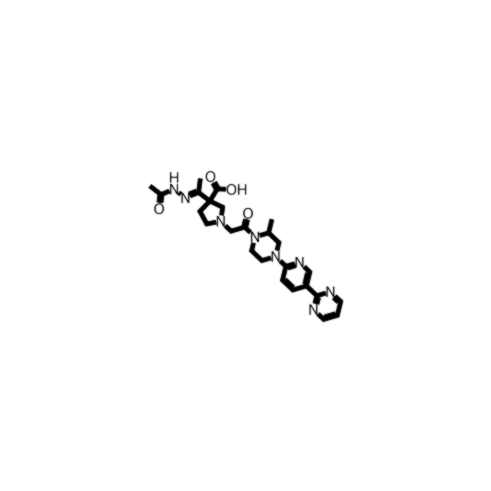 CC(=O)NN=C(C)C1(C(=O)O)CCN(CC(=O)N2CCN(c3ccc(-c4ncccn4)cn3)CC2C)C1